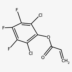 C=CC(=O)Oc1c(Cl)c(F)c(F)c(F)c1Cl